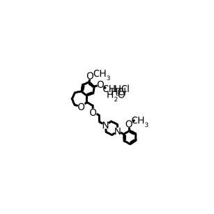 COc1cc2c(cc1OC)C(COCCN1CCN(c3ccccc3OC)CC1)OCCC2.Cl.Cl.O